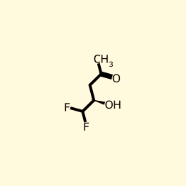 CC(=O)C[C@@H](O)C(F)F